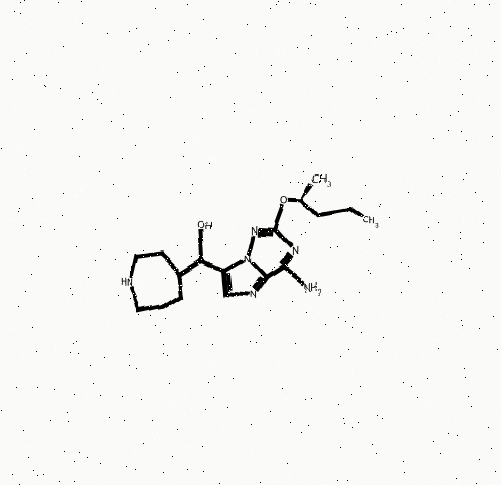 CCC[C@H](C)Oc1nc(N)c2ncc(C(O)C3CCCNCC3)n2n1